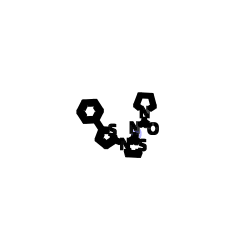 O=C(/N=c1\sccn1-c1ccc(-c2ccccc2)s1)N1CCCC1